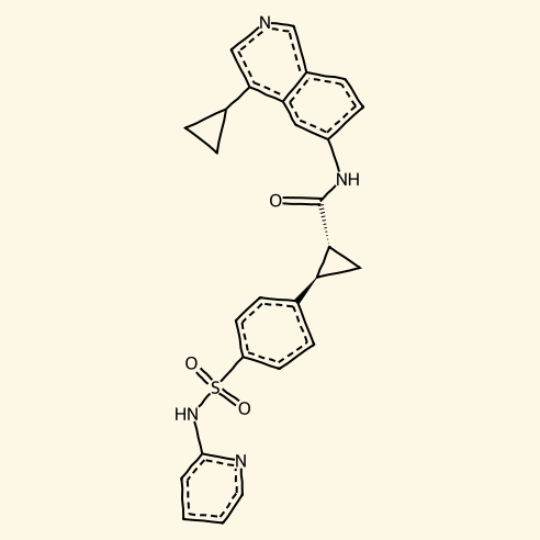 O=C(Nc1ccc2cncc(C3CC3)c2c1)[C@@H]1C[C@H]1c1ccc(S(=O)(=O)Nc2ccccn2)cc1